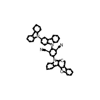 N#Cc1cc(-n2c3ccccc3c3c4oc5ccccc5c4ccc32)cc(C#N)c1-n1c2ccccc2c2cc(-n3c4ccccc4c4ccccc43)ccc21